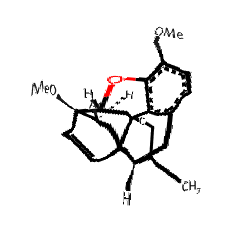 COc1ccc2c3c1O[C@H]1[C@@]4(OC)C=CC5(C[C@@H]4C(C)=O)[C@@H](C2)C(C)CC[C@]315